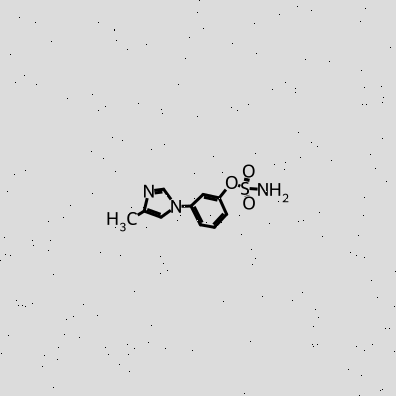 Cc1cn(-c2cccc(OS(N)(=O)=O)c2)cn1